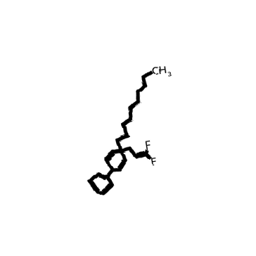 CCCCCCCCCCC1(CC=C(F)F)C=CC(c2ccccc2)C=C1